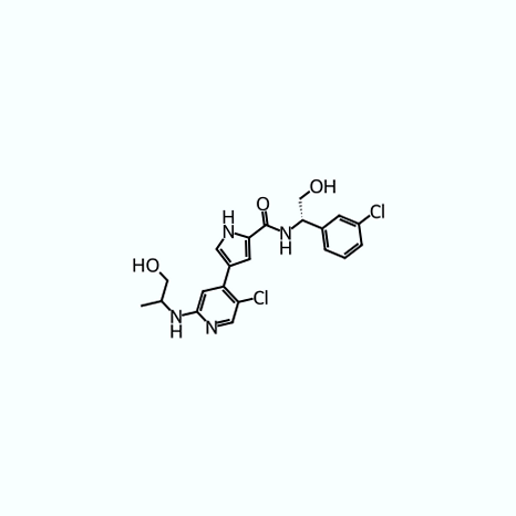 CC(CO)Nc1cc(-c2c[nH]c(C(=O)N[C@H](CO)c3cccc(Cl)c3)c2)c(Cl)cn1